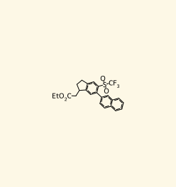 CCOC(=O)CC1CCc2cc(S(=O)(=O)C(F)(F)F)c(-c3ccc4ccccc4c3)cc21